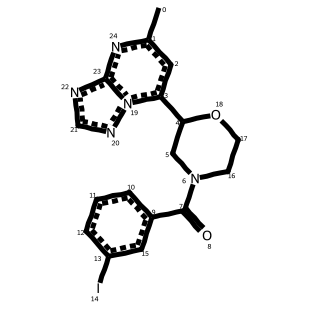 Cc1cc(C2CN(C(=O)c3cccc(I)c3)CCO2)n2ncnc2n1